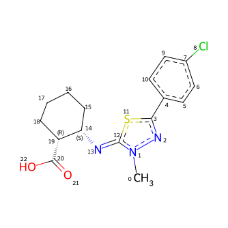 Cn1nc(-c2ccc(Cl)cc2)sc1=N[C@H]1CCCC[C@H]1C(=O)O